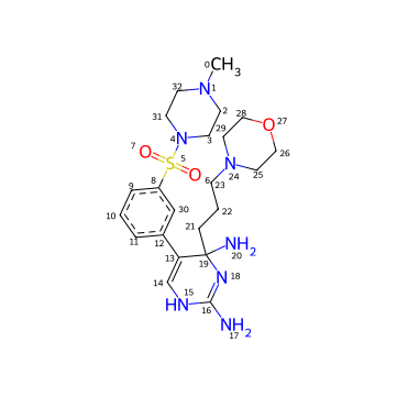 CN1CCN(S(=O)(=O)c2cccc(C3=CNC(N)=NC3(N)CCCN3CCOCC3)c2)CC1